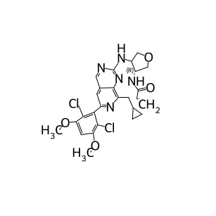 C=CC(=O)N[C@H]1COCC1Nc1ncc2cc(-c3c(Cl)c(OC)cc(OC)c3Cl)nc(CC3CC3)c2n1